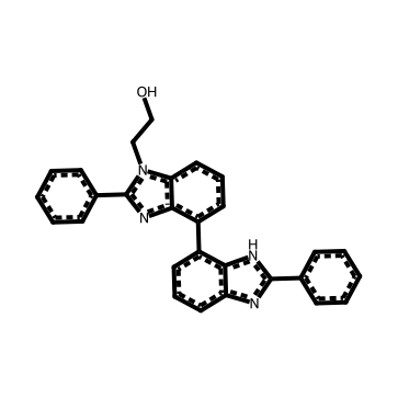 OCCn1c(-c2ccccc2)nc2c(-c3cccc4nc(-c5ccccc5)[nH]c34)cccc21